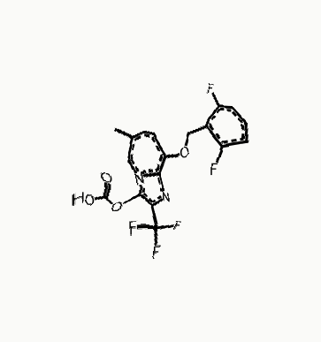 Cc1cc(OCc2c(F)cccc2F)c2nc(C(F)(F)F)c(OC(=O)O)n2c1